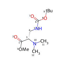 COC(=O)[C@H](CNC(=O)OC(C)(C)C)N(C)C